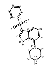 O=S(=O)(c1ccccc1)c1c[nH]c2c(N3CCNCC3)cccc12